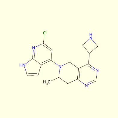 CC1Cc2ncnc(C3CNC3)c2CN1c1cc(Cl)nc2[nH]ccc12